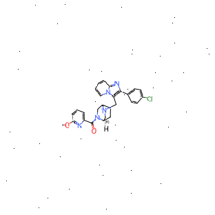 COc1cccc(C(=O)N2CC3CC[C@@H]2CN3Cc2c(-c3ccc(Cl)cc3)nc3ccccn23)n1